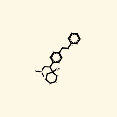 CN(C)CC(c1ccc(CCc2ccccc2)cc1)C1(O)CCCCC1